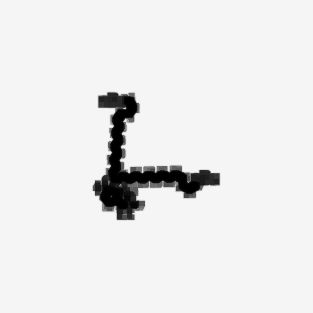 CCCC/C=C\C/C=C\CCCCCCCCC1(CCCCCCCC/C=C\C/C=C\CCCC)O[C@@H]2CCC([C@H](CC)N(C)C)[C@@H]2O1